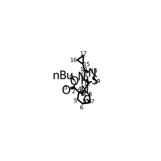 CCCCOC(=O)C12CCC(CN1)CC2c1nc(C2CC2)ns1